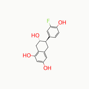 Oc1cc(O)c2c(c1)C[C@H](c1ccc(O)c(F)c1)[C@@H](O)C2